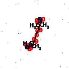 CC(C)(CCC(=O)OCCOCCOC(=O)CCC(C)(C)C(=O)ON1C(=O)CCC1=O)C(=O)ON1C(=O)CCC1=O